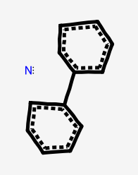 [N].c1ccc(-c2ccccc2)cc1